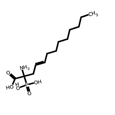 CCCCCCCC/C=C/CC(N)(C(=O)O)P(=O)(O)O